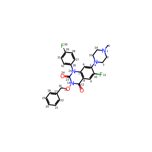 CN1CCN(c2cc3c(cc2F)c(=O)n(OCc2ccccc2)c(=O)n3-c2ccc(F)cc2)CC1